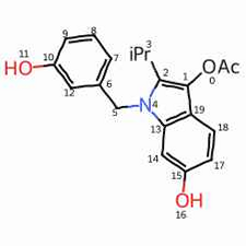 CC(=O)Oc1c(C(C)C)n(Cc2cccc(O)c2)c2cc(O)ccc12